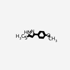 COc1ccc(-c2cc(SC)[nH]n2)cc1